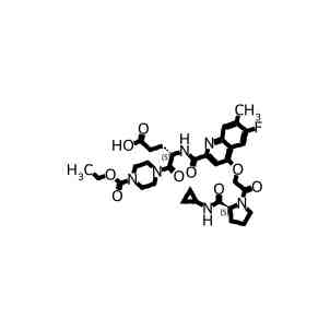 CCOC(=O)N1CCN(C(=O)[C@H](CCC(=O)O)NC(=O)c2cc(OCC(=O)N3CCC[C@H]3C(=O)NC3CC3)c3cc(F)c(C)cc3n2)CC1